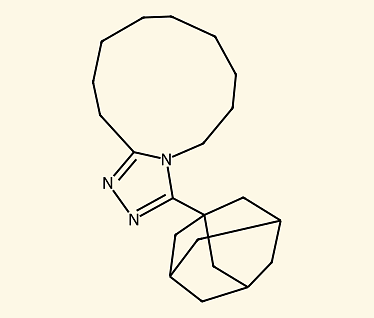 C1CCCCc2nnc(C34CC5CC(CC(C5)C3)C4)n2CCCC1